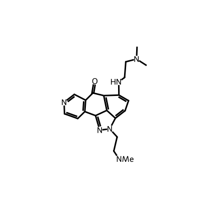 CNCCn1nc2c3c(c(NCCN(C)C)ccc31)C(=O)c1cnccc1-2